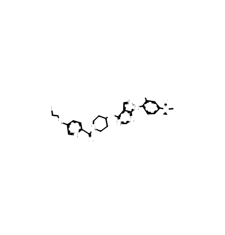 CC(C)CCNc1ccc(C(=O)N2CCC(Oc3ncnc4c3cnn4-c3ccc(S(C)(=O)=O)cc3F)CC2)nc1